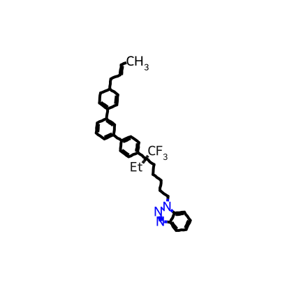 CC=CCC1C=CC(c2cccc(-c3ccc(C(CC)(CCCCCn4nnc5ccccc54)C(F)(F)F)cc3)c2)=CC1